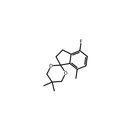 Cc1ccc(F)c2c1C1(CC2)OCC(C)(C)CO1